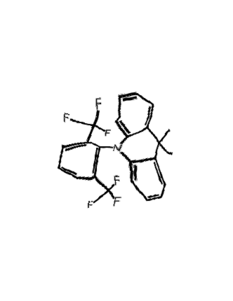 CC1(C)c2ccccc2N(c2c(C(F)(F)F)cccc2C(F)(F)F)c2ccccc21